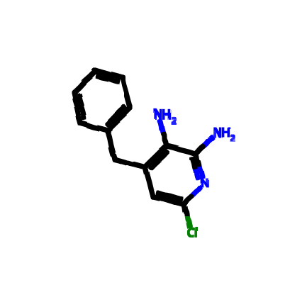 Nc1nc(Cl)cc(Cc2ccccc2)c1N